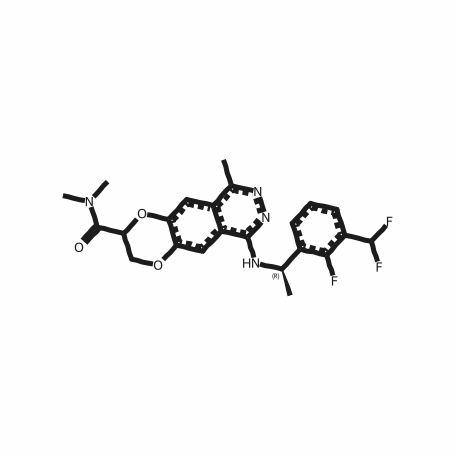 Cc1nnc(N[C@H](C)c2cccc(C(F)F)c2F)c2cc3c(cc12)OC(C(=O)N(C)C)CO3